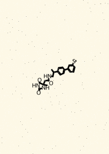 CSc1cccc(-c2ccc(C(C)CNC(=O)CC3(C)NC(=O)NC3=O)cc2)c1